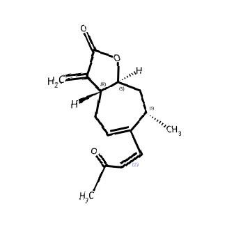 C=C1C(=O)O[C@H]2C[C@H](C)C(/C=C\C(C)=O)=CC[C@H]12